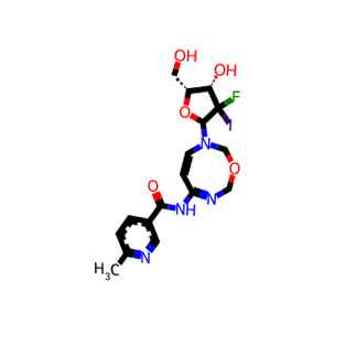 Cc1ccc(C(=O)NC2=N/COCN(C3O[C@H](CO)[C@H](O)C3(F)I)/C=C\2)cn1